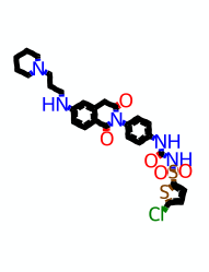 O=C(Nc1ccc(N2C(=O)Cc3cc(NCCCN4CCCCC4)ccc3C2=O)cc1)NS(=O)(=O)c1ccc(Cl)s1